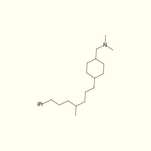 CC(C)CCCC(C)CCCC1CCC(CN(C)C)CC1